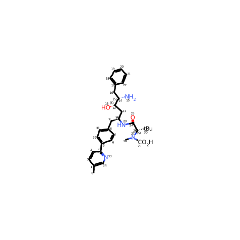 Cc1ccc(-c2ccc(C[C@@H](C[C@H](O)[C@@H](N)Cc3ccccc3)NC(=O)[C@@H](N(C)C(=O)O)C(C)(C)C)cc2)nc1